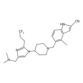 Cc1c(CN2CCC(n3cc(CN(C)C)nc3CCC(F)(F)F)CC2)ccc2[nH]c(C#N)cc12